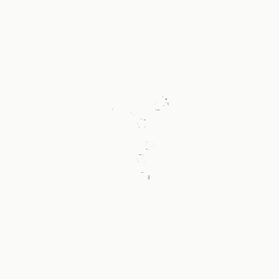 CCN(CC)C(=O)Cc1cccc(-c2cccc(COc3cc(OCc4ccc5nonc5c4)c(CN[C@H](CO)C(=O)O)cc3Cl)c2Cl)c1